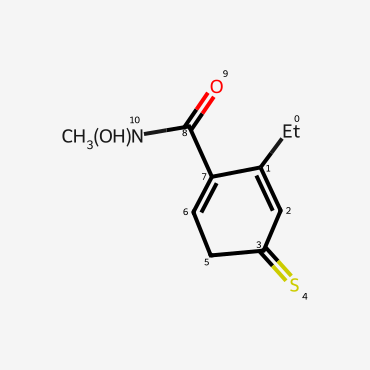 CCC1=CC(=S)CC=C1C(=O)N(C)O